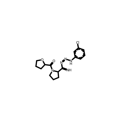 N=C(/N=N\Nc1cccc(Cl)c1)C1CCCN1C(=O)C1CCCO1